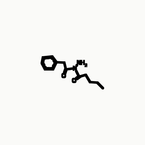 CCCCC(=O)N(N)C(=O)Cc1ccccc1